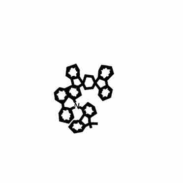 CC1(C)c2ccccc2-c2c(N(c3ccc4c(c3)C3(CCC5(CC3)c3ccccc3-c3ccccc35)c3ccccc3-4)c3ccccc3-c3ccccc3)cccc21